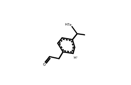 CC([TeH])c1ccc(CC=O)cc1.[H+]